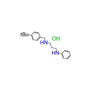 CC(C)(C)c1ccc(CNCCCNc2ccccc2)cc1.Cl